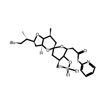 CC[C@H](C)C[C@H](C)[C@@H]1C[C@@H]2O[C@@]3(C[C@H](C)C2O1)C[C@H](C)C(O[Si](CC)(CC)CC)[C@H](CC(=O)Sc1ccccn1)O3